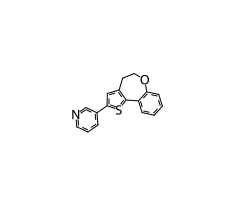 c1cncc(-c2cc3c(s2)-c2ccccc2OCC3)c1